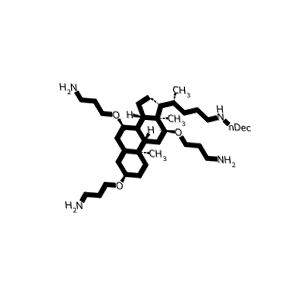 CCCCCCCCCCNCCC[C@@H](C)[C@H]1CC[C@H]2C3[C@H](OCCCN)CC4C[C@H](OCCCN)CC[C@]4(C)[C@H]3C[C@H](OCCCN)[C@]12C